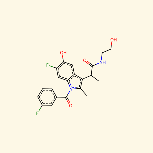 Cc1c(C(C)C(=O)NCCO)c2cc(O)c(F)cc2n1C(=O)c1cccc(F)c1